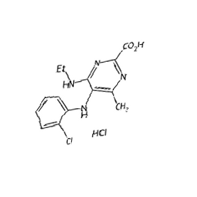 CCNc1nc(C(=O)O)nc(C)c1Nc1ccccc1Cl.Cl